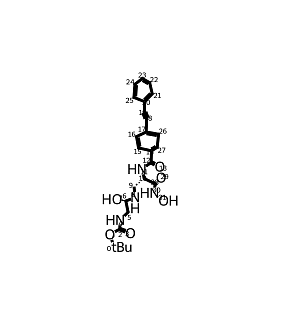 CC(C)(C)OC(=O)NC[C@H](O)NC[C@H](NC(=O)c1ccc(C#Cc2ccccc2)cc1)C(=O)NO